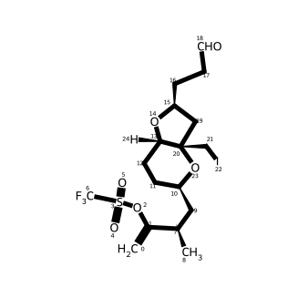 C=C(OS(=O)(=O)C(F)(F)F)[C@H](C)C[C@H]1CC[C@@H]2O[C@@H](CCC=O)C[C@]2(CI)O1